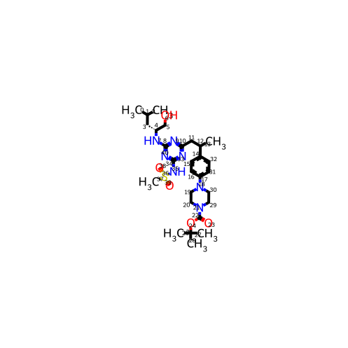 CC(C)C[C@H](CO)Nc1nc(CC(C)c2ccc(N3CCN(C(=O)OC(C)(C)C)CC3)cc2)nc(NS(C)(=O)=O)n1